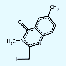 Cc1ccc2nc(CI)n(C)c(=O)c2c1